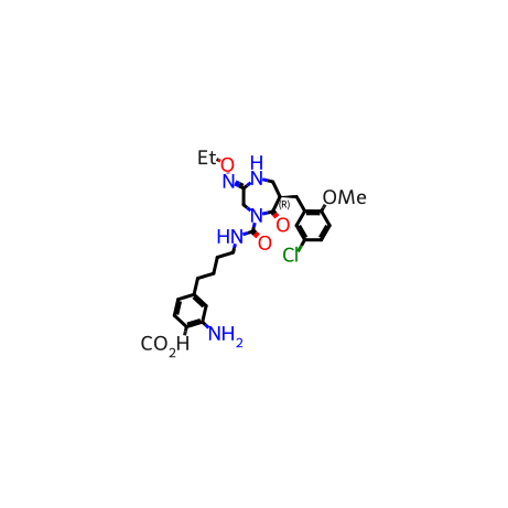 CCON=C1CN(C(=O)NCCCCc2ccc(C(=O)O)c(N)c2)C(=O)[C@H](Cc2cc(Cl)ccc2OC)CN1